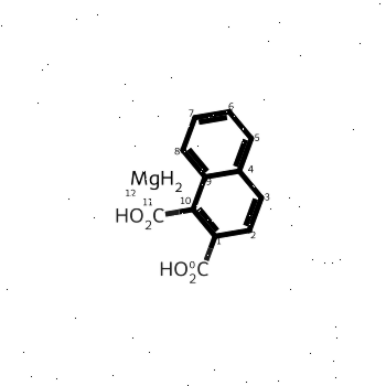 O=C(O)c1ccc2ccccc2c1C(=O)O.[MgH2]